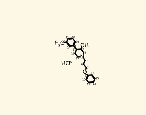 Cl.OC1CN(CCCOc2ccccc2)CCC1c1cccc(C(F)(F)F)c1